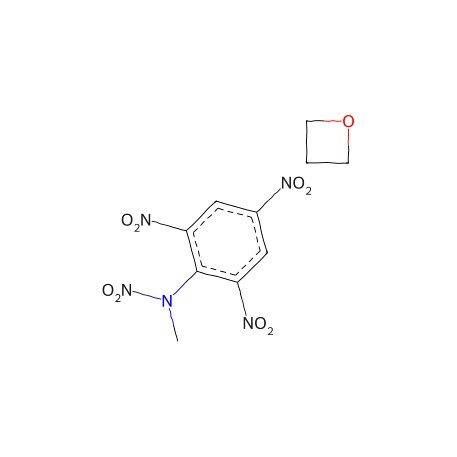 C1COC1.CN(c1c([N+](=O)[O-])cc([N+](=O)[O-])cc1[N+](=O)[O-])[N+](=O)[O-]